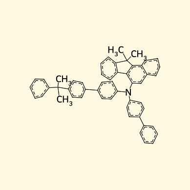 CC(C)(c1ccccc1)c1ccc(-c2ccc(N(c3ccc(-c4ccccc4)cc3)c3cc4ccccc4c4c3-c3ccccc3C4(C)C)cc2)cc1